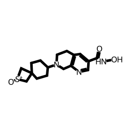 O=C(NO)c1cnc2c(c1)CCN(C1CCC3(CC1)C[S+]([O-])C3)C2